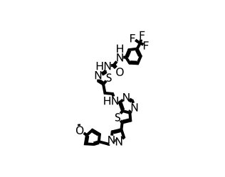 COc1ccc(Cn2cc(-c3cc4ncnc(NCCc5cnc(NC(=O)Nc6cccc(C(F)(F)F)c6)s5)c4s3)cn2)cc1